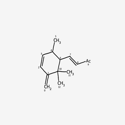 C=C1C=CC(C)C(C=CC(C)=O)C1(C)C